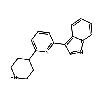 c1cc(-c2cnn3ccccc23)nc(C2CCNCC2)c1